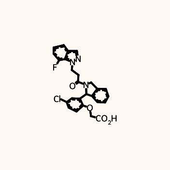 O=C(O)COc1ccc(Cl)cc1C1c2ccccc2CN1C(=O)CCn1ncc2cccc(F)c21